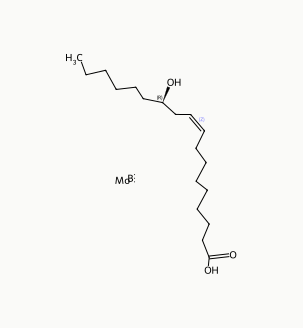 CCCCCC[C@@H](O)C/C=C\CCCCCCCC(=O)O.[B].[Mo]